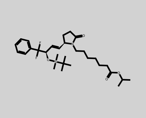 CC(C)OC(=O)CCCCCCN1C(=O)CC[C@@H]1/C=C/[C@@H](O[Si](C)(C)C(C)(C)C)C(F)(F)c1ccccc1